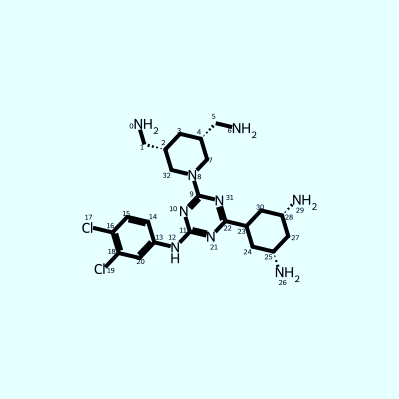 NC[C@@H]1C[C@H](CN)CN(c2nc(Nc3ccc(Cl)c(Cl)c3)nc(C3C[C@@H](N)C[C@@H](N)C3)n2)C1